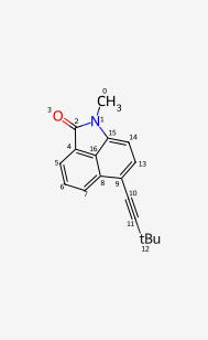 CN1C(=O)c2cccc3c(C#CC(C)(C)C)ccc1c23